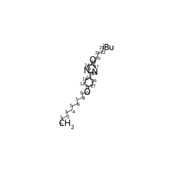 C=CCCCCCCCCOc1ccc(-c2ncc(OCCCC(C)CC)cn2)cc1